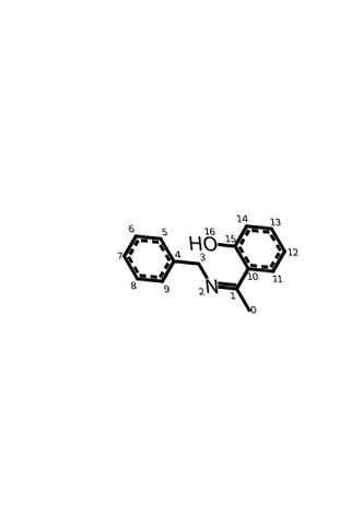 CC(=NCc1ccccc1)c1ccccc1O